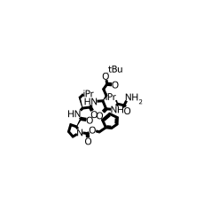 CC(C)C[C@H](NC(=O)[C@@H]1CCCN1C(=O)OCc1ccccc1)C(=O)N[C@@H](CCC(=O)OC(C)(C)C)C(=O)N[C@H](C(N)=O)C(C)C